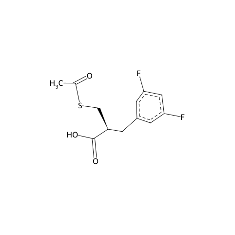 CC(=O)SC[C@@H](Cc1cc(F)cc(F)c1)C(=O)O